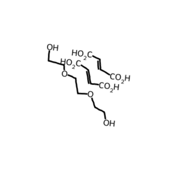 O=C(O)C=CC(=O)O.O=C(O)C=CC(=O)O.OCCOCCOCCO